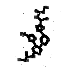 CCNC(=O)Nc1cc(-c2nc(C(F)(F)F)cs2)c(-c2cncc(-c3nnc(C(NC(=O)OC(C)(C)C)C(C)C)o3)c2)cn1